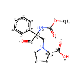 COC(=O)N[C@@](C=O)(CN1CCC[C@H]1C(=O)O)c1ccccc1